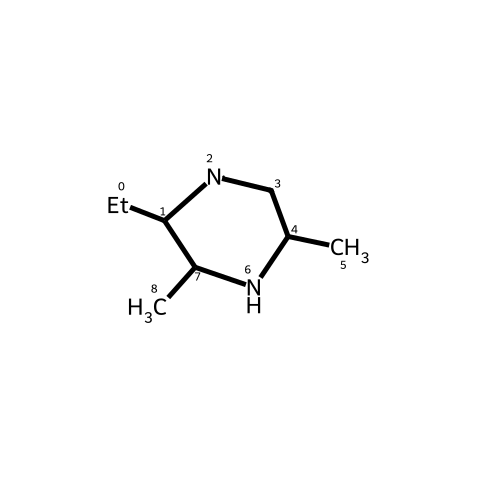 CCC1[N]CC(C)NC1C